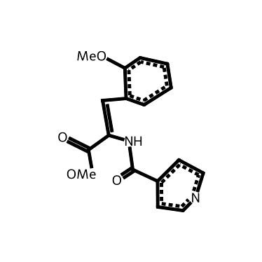 COC(=O)/C(=C/c1ccccc1OC)NC(=O)c1ccncc1